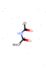 [CH2]CC(=O)NC(=O)OC